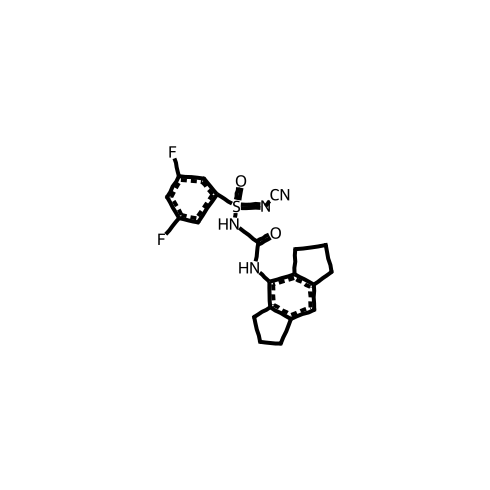 N#CN=S(=O)(NC(=O)Nc1c2c(cc3c1CCC3)CCC2)c1cc(F)cc(F)c1